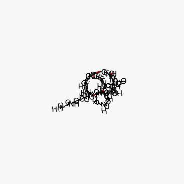 COc1ccc(C[C@@H]2NC(=O)[C@H]([C@@H](C)O)NC(=O)C3[C@@H]4CCN3C(=O)[C@@H]3Cc5cn(c6ccc(F)cc56)CCCCCCN(Cc5ccc(cc5)CCNC(=O)[C@]5(C)CCCN5C2=O)C(=O)CCC(=O)N[C@@H](C)C(=O)N[C@H](CNC(=O)COCCOCCNC(=O)CCCC(=O)O)C(=O)N[C@@H](Cc2cccc(c2)CNC(=O)CO4)C(=O)N3)cc1